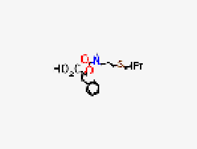 CC(C)CSCCCN(C)C(=O)O[C@@H](Cc1ccccc1)C(=O)O